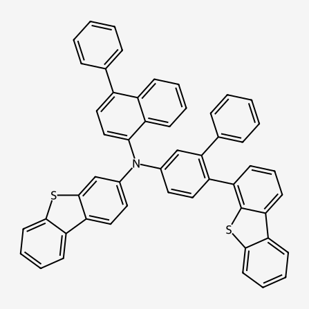 c1ccc(-c2cc(N(c3ccc4c(c3)sc3ccccc34)c3ccc(-c4ccccc4)c4ccccc34)ccc2-c2cccc3c2sc2ccccc23)cc1